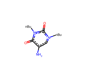 CCCCn1cc(N)c(=O)n(CCCC)c1=O